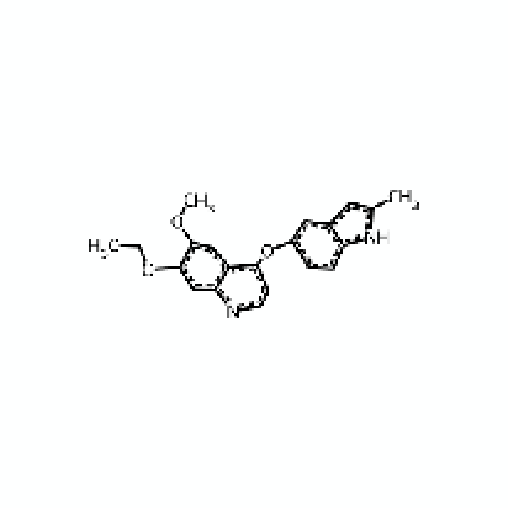 CCOc1cc2nccc(Oc3ccc4[nH]c(C)cc4c3)c2cc1OC